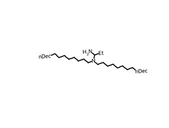 CCCCCCCCCCCCCCCCCCN(CCCCCCCCCCCCCCCCCC)C(N)CC